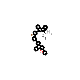 CC1(C)c2ccccc2-c2c1cc(-c1ccc3sc4ccc(-c5ccc6c(c5)c5ccccc5c5c6ccc6c7ccccc7oc65)cc4c3c1)c1ccccc21